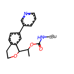 CC(OC(=O)NC(C)(C)C)C1OCCc2ccc(-c3cccnc3)cc21